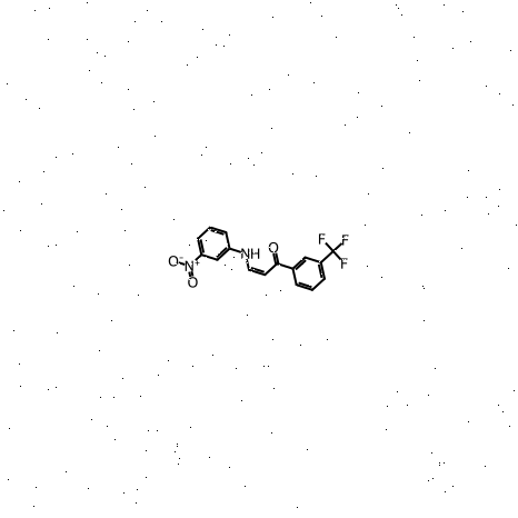 O=C(/C=C\Nc1cccc([N+](=O)[O-])c1)c1cccc(C(F)(F)F)c1